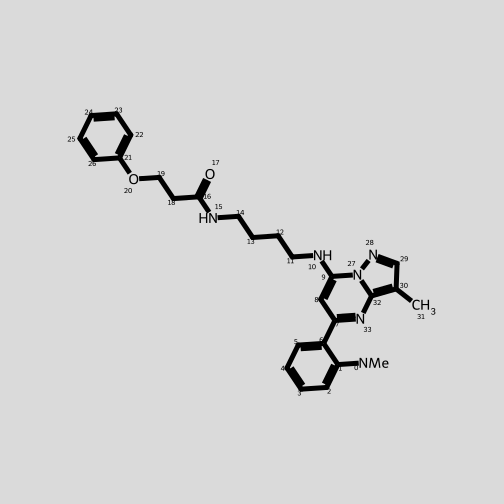 CNc1ccccc1-c1cc(NCCCCNC(=O)CCOc2ccccc2)n2ncc(C)c2n1